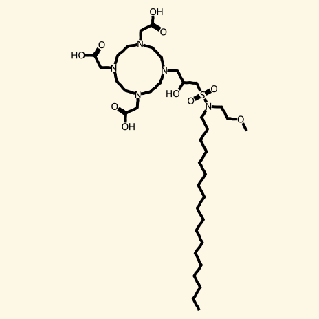 CCCCCCCCCCCCCCCCCCN(CCOC)S(=O)(=O)CC(O)CN1CCN(CC(=O)O)CCN(CC(=O)O)CCN(CC(=O)O)CC1